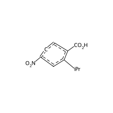 CC(C)c1cc([N+](=O)[O-])ccc1C(=O)O